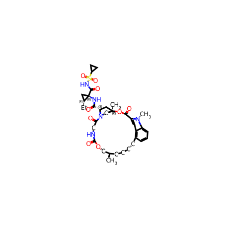 CC[C@@H]1C[C@]1(NC(=O)[C@@H]1C[C@]2(C)CN1C(=O)CNC(=O)OCC(C)CCCCc1cccc3c1cc(n3C)C(=O)O2)C(=O)NS(=O)(=O)C1CC1